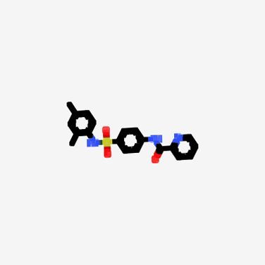 Cc1ccc(NS(=O)(=O)c2ccc(NC(=O)c3ccccn3)cc2)c(C)c1